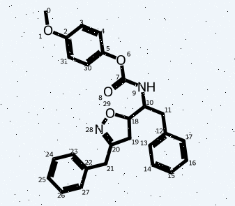 COc1ccc(OC(=O)NC(Cc2ccccc2)C2CC(Cc3ccccc3)=NO2)cc1